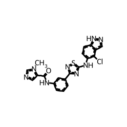 Cn1cncc1C(=O)Nc1cccc(-c2nsc(Nc3ccc4[nH]ncc4c3Cl)n2)c1